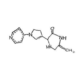 C=C1CNC(C2=CN(c3ccncc3)CC2)C(=O)N1